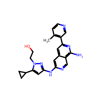 Cc1ccncc1-c1cc2cc(Nc3cc(C4CC4)n(CCO)n3)ncc2c(N)n1